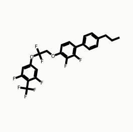 CCCc1ccc(-c2ccc(OCC(F)(F)Oc3cc(F)c(C(F)(F)F)c(F)c3)c(F)c2F)cc1